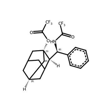 O=C(N[C@@H](c1ccccc1)[C@H]1C2CC3C[C@H](C2)C[C@@]1(OC(=O)C(F)(F)F)C3)C(F)(F)F